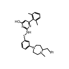 Cc1cccc(C)c1-c1cc(O)nc(NSc2cccc(N3CCC(CC(C)C)N(C)CC3)c2)n1